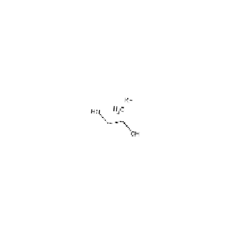 O.OCCO.[KH]